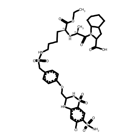 CCOC(=O)[C@H](CCCCNS(=O)(=O)Cc1ccc(OCC2Nc3cc(Cl)c(S(N)(=O)=O)cc3S(=O)(=O)N2)cc1)N[C@@H](C)C(=O)N1C(C(=O)O)CC2CCCCC21